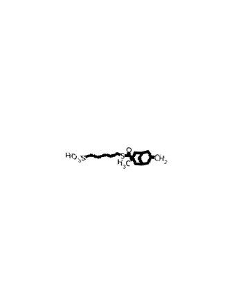 CC1CC2CC(C1)CC(C)(C(=O)SCCCCCS(=O)(=O)O)C2